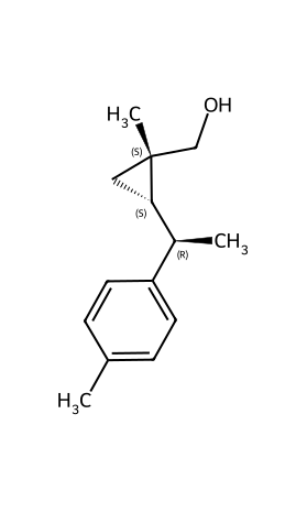 Cc1ccc([C@H](C)[C@@H]2C[C@]2(C)CO)cc1